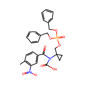 Cc1ccc(C(=O)N(C(=O)O)C2(COP(=O)(OCc3ccccc3)OCc3ccccc3)CC2)cc1[N+](=O)[O-]